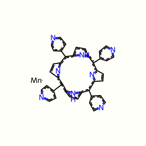 C1=Cc2nc1c(-c1ccncc1)c1ccc([nH]1)c(-c1ccncc1)c1nc(c(-c3ccncc3)c3ccc([nH]3)c2-c2ccncc2)C=C1.[Mn]